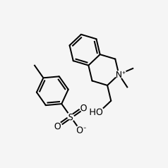 C[N+]1(C)Cc2ccccc2CC1CO.Cc1ccc(S(=O)(=O)[O-])cc1